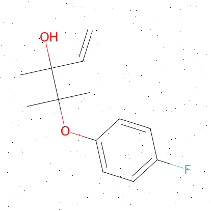 [CH]=CC(C)(O)C(C)(C)Oc1ccc(F)cc1